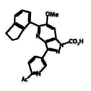 COc1cc2c(nc1-c1cccc3c1CCC3)c(-c1ccc(C(C)=O)nc1)nn2C(=O)O